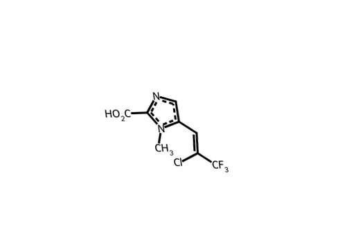 Cn1c(C=C(Cl)C(F)(F)F)cnc1C(=O)O